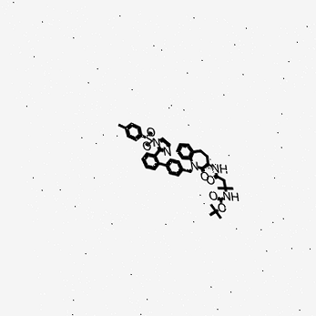 Cc1ccc(S(=O)(=O)n2ccnc2-c2ccccc2-c2ccc(CN3C(=O)[C@H](NC(=O)CC(C)(C)NC(=O)OC(C)(C)C)CCc4ccccc43)cc2)cc1